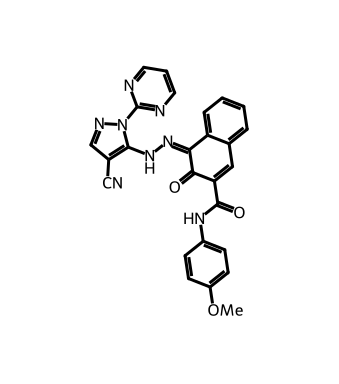 COc1ccc(NC(=O)C2=Cc3ccccc3/C(=N/Nc3c(C#N)cnn3-c3ncccn3)C2=O)cc1